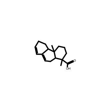 CC1(C(=O)O)CCCC2(C)C3CCC=CC3=CCC12